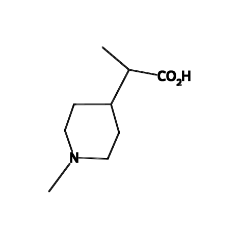 CC(C(=O)O)C1CCN(C)CC1